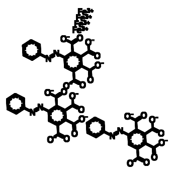 O=C([O-])c1cc(N=Nc2ccccc2)c(C(=O)[O-])c(C(=O)[O-])c1C(=O)[O-].O=C([O-])c1cc(N=Nc2ccccc2)c(C(=O)[O-])c(C(=O)[O-])c1C(=O)[O-].O=C([O-])c1cc(N=Nc2ccccc2)c(C(=O)[O-])c(C(=O)[O-])c1C(=O)[O-].[Fe+3].[Fe+3].[Fe+3].[Fe+3]